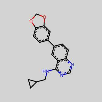 c1nc(NCC2CC2)c2cc(-c3ccc4c(c3)OCO4)ccc2n1